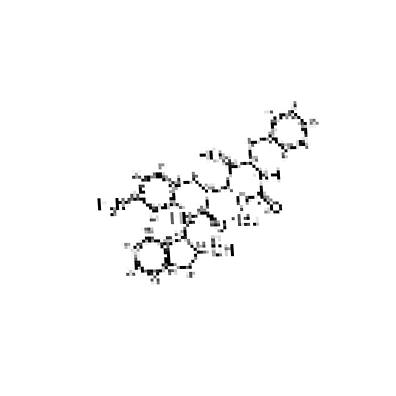 CC(C)(C)OC(=O)NC(Cc1ccccc1)C(O)CC(Cc1ccc(N)cc1)C(=O)NC1c2ccccc2CC1O